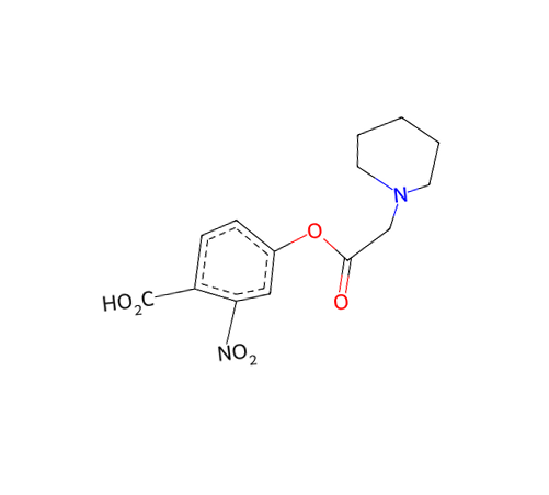 O=C(CN1CCCCC1)Oc1ccc(C(=O)O)c([N+](=O)[O-])c1